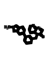 Cn1cc2ccc(-c3cccc(Cn4c(=O)cnc5ncccc54)c3)cc2c1